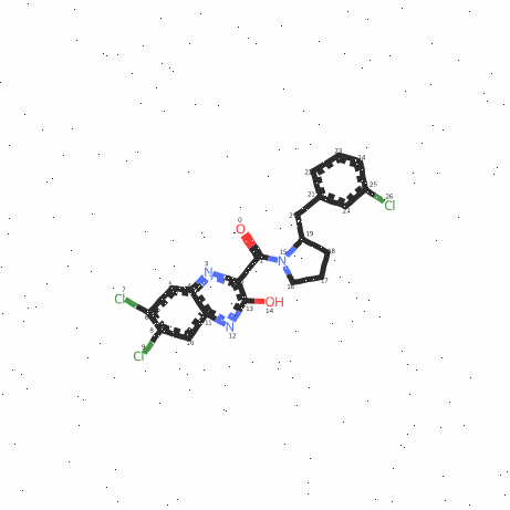 O=C(c1nc2cc(Cl)c(Cl)cc2nc1O)N1CCCC1Cc1cccc(Cl)c1